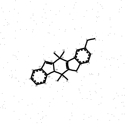 CCc1ccc2c(c1)C1=C(C2)C(C)(C)C2C(=Cc3ccccc32)C1(C)C